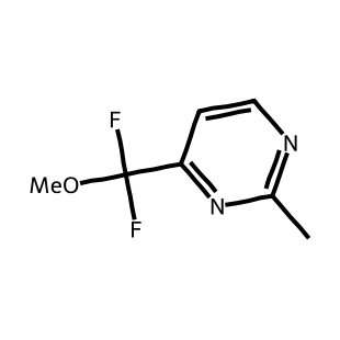 COC(F)(F)c1ccnc(C)n1